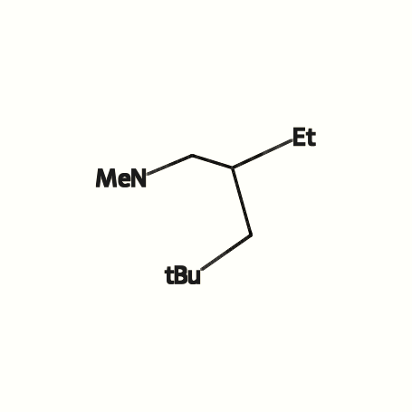 CCC(CNC)CC(C)(C)C